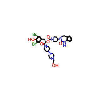 O=C(O[C@H](Cc1cc(Br)c(O)c(Br)c1)C(=O)N1CCC(N2CCN(CCO)CC2)CC1)N1CCC(N2CCc3ccccc3NC2=O)CC1